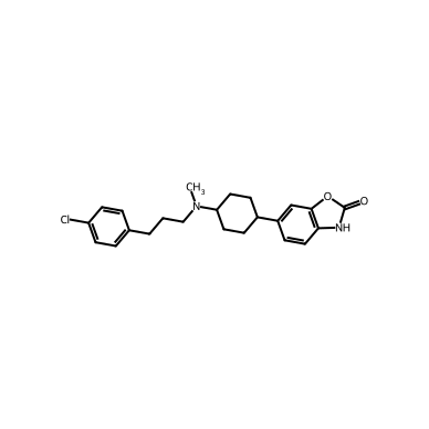 CN(CCCc1ccc(Cl)cc1)C1CCC(c2ccc3[nH]c(=O)oc3c2)CC1